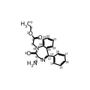 CCOC(=O)CN1C(=O)[C@@H](N)N=C(c2ccccc2)c2ccccc21